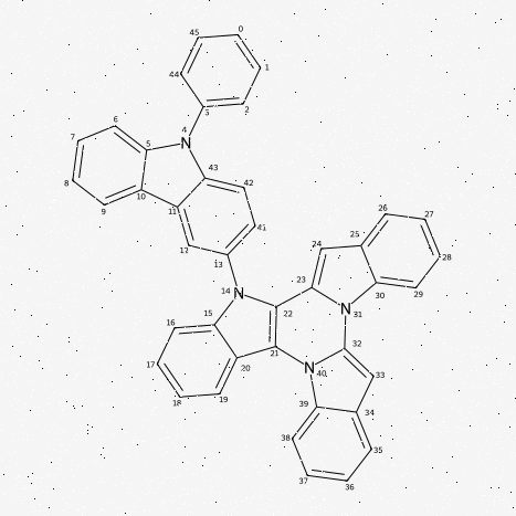 c1ccc(-n2c3ccccc3c3cc(-n4c5ccccc5c5c4c4cc6ccccc6n4c4cc6ccccc6n54)ccc32)cc1